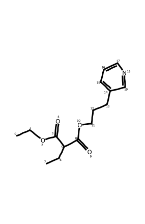 CCOC(=O)C(CC)C(=O)OCCCc1cccnc1